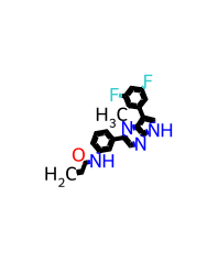 C=CC(=O)Nc1cccc(-c2cnc3[nH]cc(-c4cc(F)cc(F)c4C)c3n2)c1